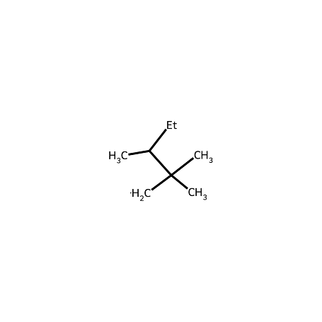 [CH2]C(C)(C)C(C)CC